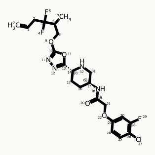 C=CCC(F)(F)C(C)COc1nnc([C@H]2CC[C@H](NC(=O)COc3ccc(Cl)c(F)c3)CN2)o1